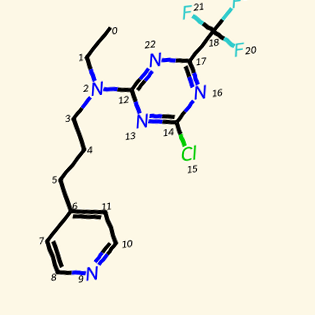 CCN(CCCc1ccncc1)c1nc(Cl)nc(C(F)(F)F)n1